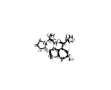 CNC(=O)c1cc(Br)cc(Br)c1NC(=O)[C@@H]1CCCN1C(=O)O